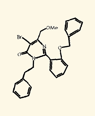 COCc1nc(-c2ccccc2OCc2ccccc2)n(CCc2ccccc2)c(=O)c1Br